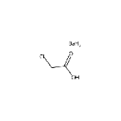 O=C(O)CCl.[BaH2]